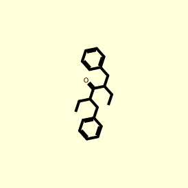 CCC(Cc1ccccc1)C(=O)C(CC)Cc1ccccc1